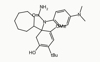 COC1=CC(C(C)(C)C)=C(O)CC1(C1CCCCCC1)N(C(N)=O)c1ccc(N(C)C)cc1